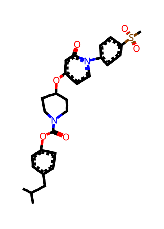 CC(C)Cc1ccc(OC(=O)N2CCC(Oc3ccn(-c4ccc(S(C)(=O)=O)cc4)c(=O)c3)CC2)cc1